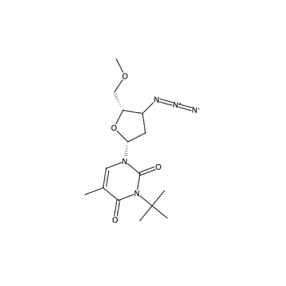 COC[C@H]1O[C@@H](n2cc(C)c(=O)n(C(C)(C)C)c2=O)CC1N=[N+]=[N-]